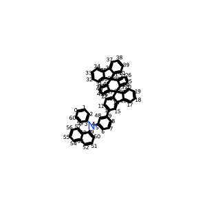 c1ccc(N(c2cccc(-c3ccc4c(c3)-c3ccccc3C43c4ccccc4C4(c5ccccc5-c5ccccc54)c4ccccc43)c2)c2cccc3ccccc23)cc1